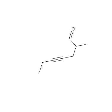 CCC#CCC(C)C=O